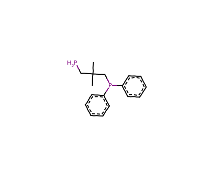 CC(C)(CP)CP(c1ccccc1)c1ccccc1